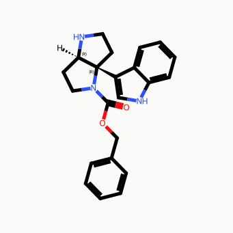 O=C(OCc1ccccc1)N1CC[C@H]2NCC[C@@]21c1c[nH]c2ccccc12